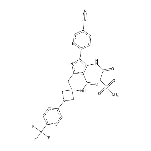 CS(=O)(=O)CC(=O)Nc1c2c(nn1-c1ccc(C#N)cn1)CC1(CN(c3ccc(C(F)(F)F)cc3)C1)NC2=O